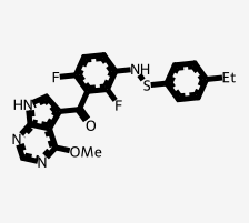 CCc1ccc(SNc2ccc(F)c(C(=O)c3c[nH]c4ncnc(OC)c34)c2F)cc1